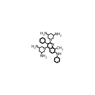 Cc1c(Nc2ccccc2)ccc2c(N3CC(N)CC(N)C3)c(-c3ccccc3)c(N3CC(N)CC(N)C3)nc12